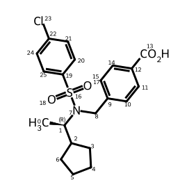 C[C@H](C1CCCC1)N(Cc1ccc(C(=O)O)cc1)S(=O)(=O)c1ccc(Cl)cc1